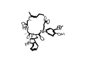 C/C1=C\CCOC(=O)C[C@H](c2ccc(O)c(Br)c2)NC(=O)[C@@H](Cc2c[nH]c3ccccc23)N(C)C(=O)[C@H](C)NC(=O)CC1